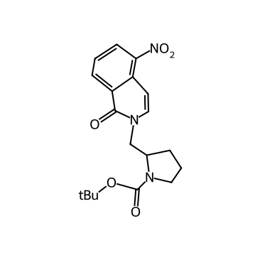 CC(C)(C)OC(=O)N1CCCC1Cn1ccc2c([N+](=O)[O-])cccc2c1=O